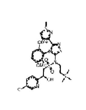 COc1cccc(OC)c1-n1c(-c2ccn(C)n2)nnc1N(CC[Si](C)(C)C)S(=O)(=O)CC(O)c1ccc(Cl)cn1